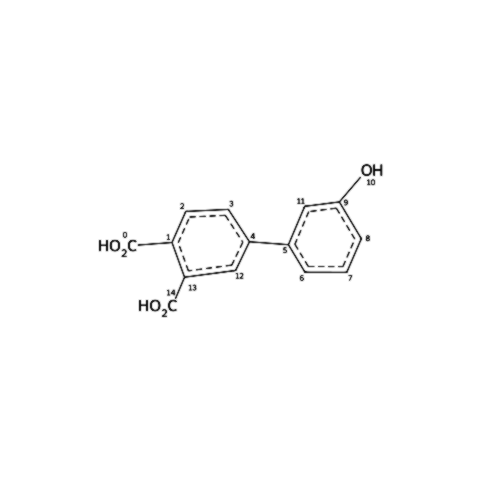 O=C(O)c1ccc(-c2cccc(O)c2)cc1C(=O)O